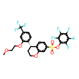 COCCOc1cc(C(F)(F)F)ccc1[C@H]1CCOc2cc(S(=O)(=O)Oc3c(F)c(F)c(F)c(F)c3F)ccc21